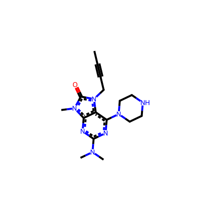 CC#CCn1c(=O)n(C)c2nc(N(C)C)nc(N3CCNCC3)c21